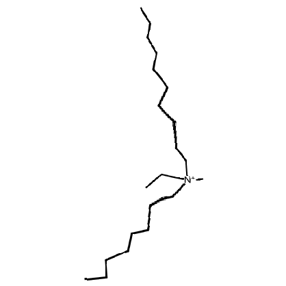 CCCCCCCCCC[N+](C)(CC)CCCCCCCC